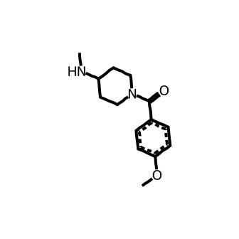 CNC1CCN(C(=O)c2ccc(OC)cc2)CC1